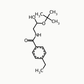 CCc1ccc(C(=O)NCC(O)OC(C)(C)C)cc1